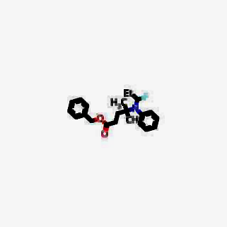 CCC(F)N(c1ccccc1)C(C)(C)CCC(=O)OCc1ccccc1